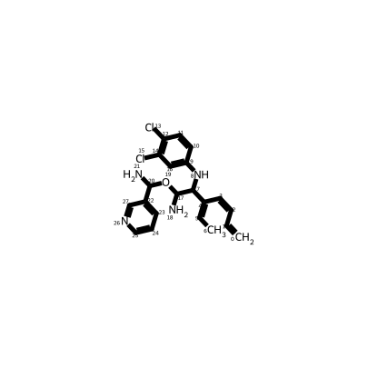 C=C/C=C\C(=C/C)C(Nc1ccc(Cl)c(Cl)c1)C(N)OC(N)c1cccnc1